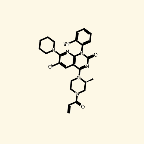 C=CC(=O)N1CCN(c2nc(=O)n(-c3ccccc3C(C)C)c3nc(N4CCCCC4)c(Cl)cc23)[C@@H](C)C1